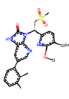 CCOc1nc([C@@H](CS(C)(=O)=O)n2c(=O)[nH]c3cc(-c4cccc(C)c4C)cnc32)ccc1OC